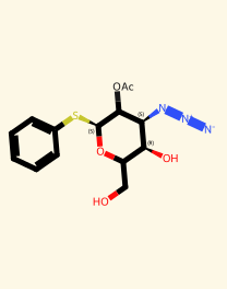 CC(=O)OC1[C@@H](N=[N+]=[N-])[C@@H](O)C(CO)O[C@H]1Sc1ccccc1